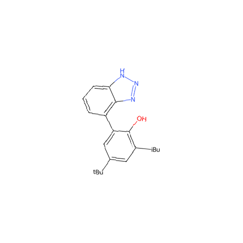 CCC(C)c1cc(C(C)(C)C)cc(-c2cccc3[nH]nnc23)c1O